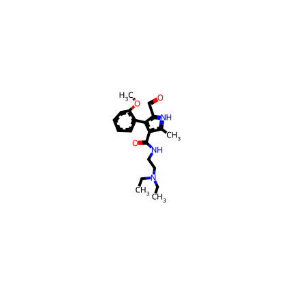 CCN(CC)CCNC(=O)c1c(C)[nH]c(C=O)c1-c1ccccc1OC